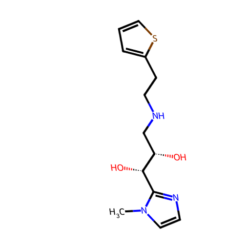 Cn1ccnc1[C@H](O)[C@@H](O)CNCCc1cccs1